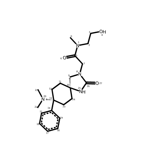 CN(CCO)C(=O)CN1C[C@]2(CC[C@@](c3ccccc3)(N(C)C)CC2)NC1=O